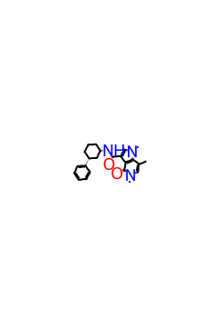 Cc1cn(C)c(=O)c2c(C(=O)N[C@H]3CCC[C@@H](c4ccccc4)C3)cn(C)c12